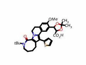 COc1cc2c(cc1C1OC(C)(C)OC1C(=O)O)-c1c(-c3cccs3)c3c(n1CC2)C(=O)N(C(C)(C)C)CCCC3